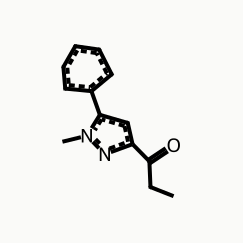 CCC(=O)c1cc(-c2ccccc2)n(C)n1